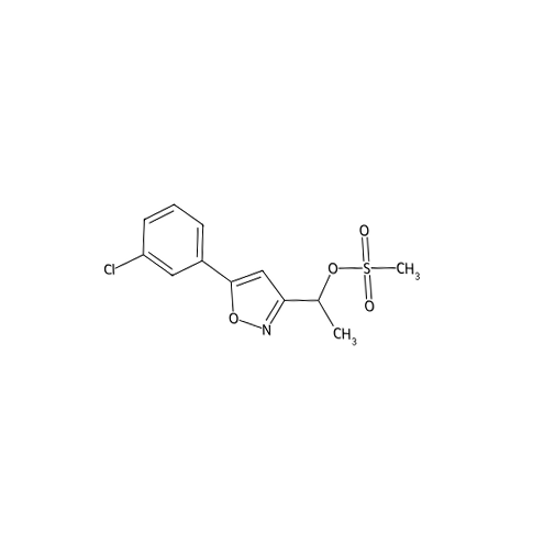 CC(OS(C)(=O)=O)c1cc(-c2cccc(Cl)c2)on1